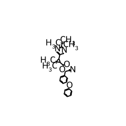 CC(C)(C)c1ncc(C2C(C(=O)OC(C#N)c3cccc(Oc4ccccc4)c3)C2(C)C)cn1